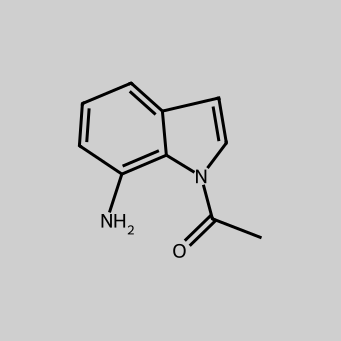 CC(=O)n1ccc2cccc(N)c21